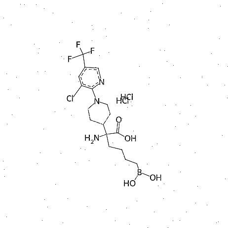 Cl.Cl.NC(CCCCB(O)O)(C(=O)O)C1CCN(c2ncc(C(F)(F)F)cc2Cl)CC1